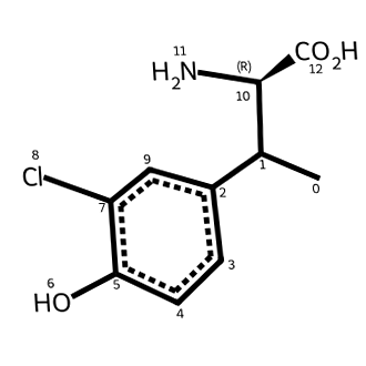 CC(c1ccc(O)c(Cl)c1)[C@@H](N)C(=O)O